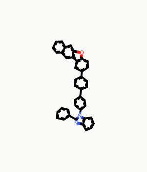 c1ccc(-c2nc3ccccc3n2-c2ccc(-c3ccc(-c4ccc5oc6cc7ccccc7cc6c5c4)cc3)cc2)cc1